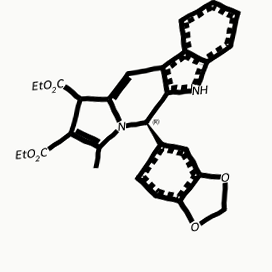 CCOC(=O)C1=C(C)N2C(=Cc3c([nH]c4ccccc34)[C@H]2c2ccc3c(c2)OCO3)C1C(=O)OCC